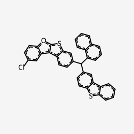 Clc1ccc2oc3sc4cc(C(c5ccc6sc7ccccc7c6c5)c5cccc6ccccc56)ccc4c3c2c1